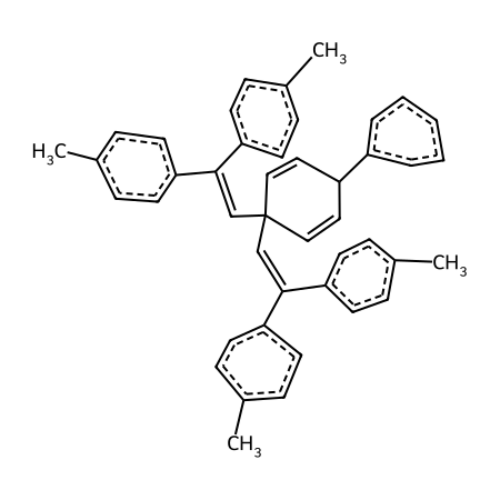 Cc1ccc(C(=CC2(C=C(c3ccc(C)cc3)c3ccc(C)cc3)C=CC(c3ccccc3)C=C2)c2ccc(C)cc2)cc1